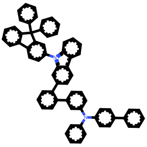 c1ccc(-c2ccc(N(c3ccccc3)c3cccc(-c4ccccc4-c4ccc5c6ccccc6n(-c6ccc7c(c6)C(c6ccccc6)(c6ccccc6)c6ccccc6-7)c5c4)c3)cc2)cc1